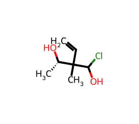 C=CC(C)(C(O)Cl)[C@H](C)O